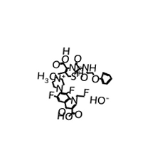 C[N+]1(CC2=C(C(=O)O)N3C(=O)[C@@H](NC(=O)COc4ccccc4)[C@H]3SC2)CCN(c2c(F)cc3c(=O)c(C(=O)O)cn(CCF)c3c2F)CC1.[OH-]